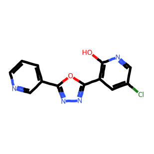 Oc1ncc(Cl)cc1-c1nnc(-c2cccnc2)o1